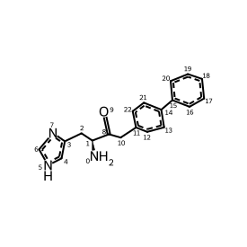 N[C@@H](Cc1c[nH]cn1)C(=O)Cc1ccc(-c2ccccc2)cc1